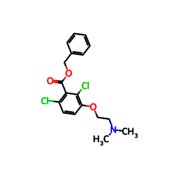 CN(C)CCOc1ccc(Cl)c(C(=O)OCc2ccccc2)c1Cl